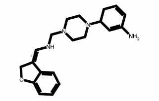 NC1=CC(N2CCN(CN/C=C3/COc4ccccc43)CC2)CC=C1